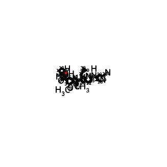 COc1cc(C(=O)N2C[C@H]3CC[C@@H]2[C@@H]3N)cc2nc(-c3cc4ccc(Nc5ccnc(C#N)c5)nc4n3CC3CC3)n(C)c12